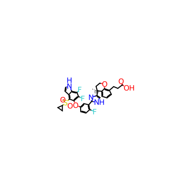 C[C@]1(c2c[nH]c(-c3cc(Oc4c(F)c(F)c5[nH]ccc5c4S(=O)(=O)C4CC4)ccc3F)n2)CCOc2c(CCC(=O)O)cccc21